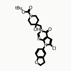 CC(C)(C)OC(=O)N1CCC(O)(Cn2cnc3c(cc(Cl)n3-c3ccc4c(c3)CCO4)c2=O)CC1